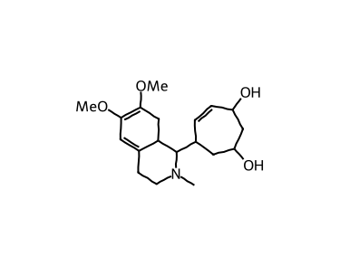 COC1=C(OC)CC2C(=C1)CCN(C)C2C1C=CC(O)CC(O)C1